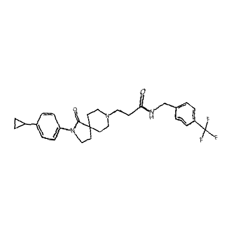 O=C(CCN1CCC2(CC1)CCN(c1ccc(C3CC3)cc1)C2=O)NCc1ccc(C(F)(F)F)cc1